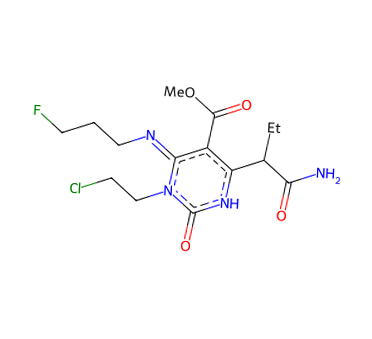 CCC(C(N)=O)c1[nH]c(=O)n(CCCl)/c(=N\CCCF)c1C(=O)OC